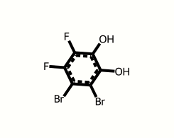 Oc1c(O)c(Br)c(Br)c(F)c1F